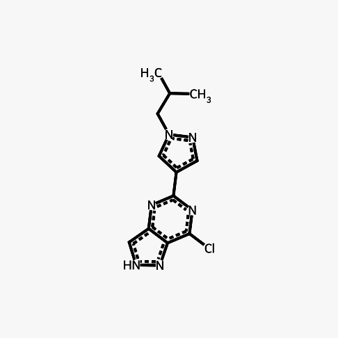 CC(C)Cn1cc(-c2nc(Cl)c3n[nH]cc3n2)cn1